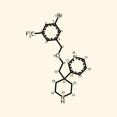 FC(F)(F)c1cc(Br)cc(COCCC2(c3cccnc3)CCNCC2)c1